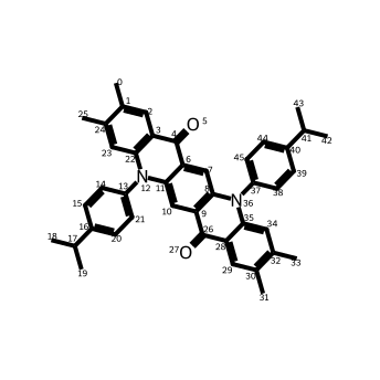 Cc1cc2c(=O)c3cc4c(cc3n(-c3ccc(C(C)C)cc3)c2cc1C)c(=O)c1cc(C)c(C)cc1n4-c1ccc(C(C)C)cc1